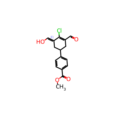 COC(=O)c1ccc(C2CC(C=O)=C(Cl)/C(=C/O)C2)cc1